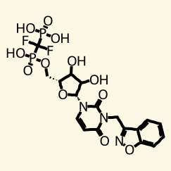 O=c1ccn([C@@H]2O[C@H](COP(=O)(O)C(F)(F)P(=O)(O)O)C(O)C2O)c(=O)n1Cc1noc2ccccc12